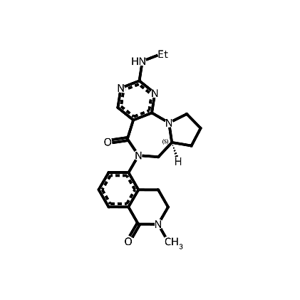 CCNc1ncc2c(n1)N1CCC[C@H]1CN(c1cccc3c1CCN(C)C3=O)C2=O